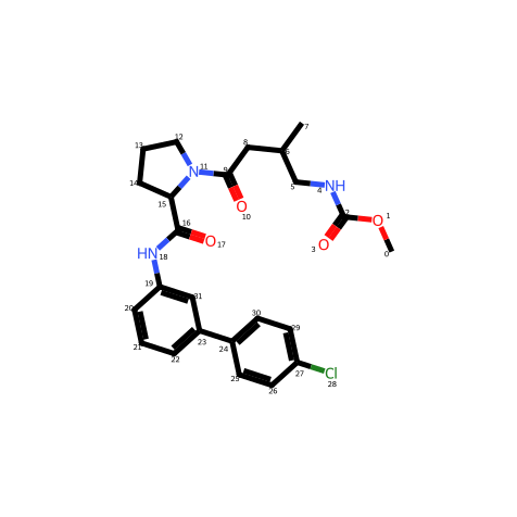 COC(=O)NCC(C)CC(=O)N1CCCC1C(=O)Nc1cccc(-c2ccc(Cl)cc2)c1